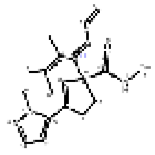 C=C/C=C(\C(C)=C(C)C)[C@@]1(C(=O)NO)C=C(c2ccnn2C)CC1